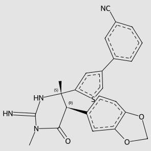 CN1C(=N)N[C@](C)(c2cc(-c3cccc(C#N)c3)cs2)[C@@H](c2ccc3c(c2)OCO3)C1=O